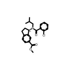 COC(=O)c1ccc2c(c1)[C@H](N(CC(C)C)C(=O)c1ccccc1Cl)CC2